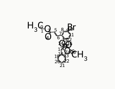 CCOC(=O)/C=C/c1cc(Br)ccc1OP(=O)(Cc1ccccc1)OCC